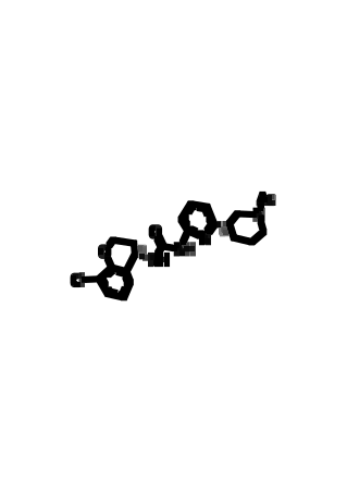 CC(=O)N1CCC[C@H](c2cccc(NC(=O)N[C@H]3CCOc4c(Cl)cccc43)n2)C1